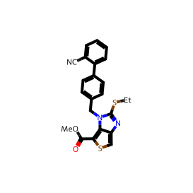 CCSc1nc2csc(C(=O)OC)c2n1Cc1ccc(-c2ccccc2C#N)cc1